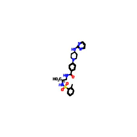 Cc1ccccc1S(=O)(=O)N[C@@H](CNC(=O)c1ccc(N2CCC(Nc3ncccn3)CC2)cc1)C(=O)O